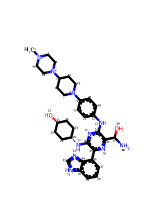 CN1CCN(C2CCN(c3ccc(Nc4nc(N[C@H]5CC[C@H](O)CC5)c(-c5cccc6[nH]cnc56)nc4C(N)O)cc3)CC2)CC1